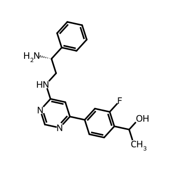 CC(O)c1ccc(-c2cc(NC[C@H](N)c3ccccc3)ncn2)cc1F